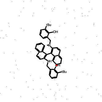 CN(Cc1cccc(C(C)(C)C)c1O)c1ccc2c(c1-c1c(NCc3cccc(C(C)(C)C)c3O)ccc3ccccc13)=CCCC=2